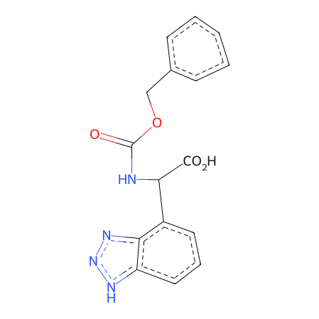 O=C(NC(C(=O)O)c1cccc2[nH]nnc12)OCc1ccccc1